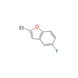 CCc1cc2cc(F)ccc2o1